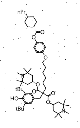 CCC[C@H]1CC[C@H](C(=O)Oc2ccc(OCCCCCCC(Cc3cc(C(C)(C)C)c(O)c(C(C)(C)C)c3)(C(=O)OC3CC(C)(C)N(C)C(C)(C)C3)C(=O)OC3CC(C)(C)N(C)C(C)(C)C3)cc2)CC1